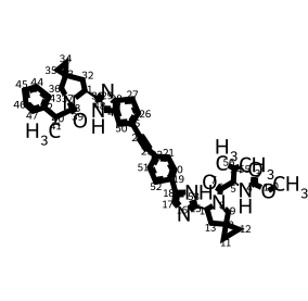 COC(=O)N[C@H](C(=O)N1CC2(CC2)C[C@H]1c1ncc(-c2ccc(C#Cc3ccc4nc([C@@H]5CC6(CC6)CN5C(=O)[C@H](C)c5ccccc5)[nH]c4c3)cc2)[nH]1)C(C)C